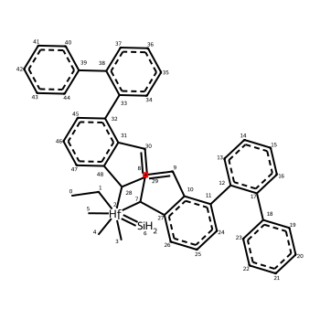 C[CH2][Hf]([CH3])([CH3])([CH3])(=[SiH2])([CH]1C=Cc2c(-c3ccccc3-c3ccccc3)cccc21)[CH]1C=Cc2c(-c3ccccc3-c3ccccc3)cccc21